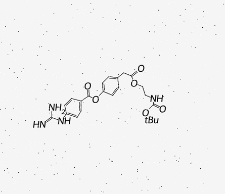 CC(C)(C)OC(=O)NCCOC(=O)Cc1ccc(OC(=O)c2ccc(NC(=N)N)cc2)cc1